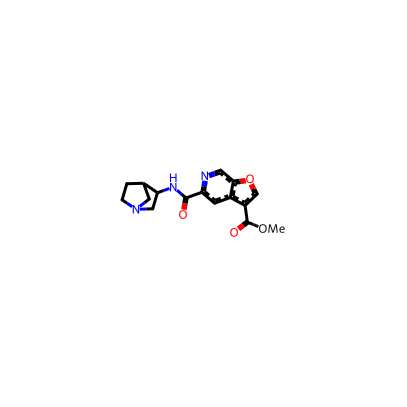 COC(=O)c1coc2cnc(C(=O)NC3CN4CCC3C4)cc12